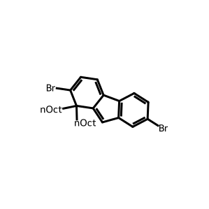 CCCCCCCCC1(CCCCCCCC)C(Br)=CC=C2C1=Cc1cc(Br)ccc12